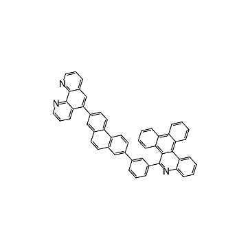 c1cc(-c2ccc3c(ccc4cc(-c5cc6cccnc6c6ncccc56)ccc43)c2)cc(-c2nc3ccccc3c3c4ccccc4c4ccccc4c23)c1